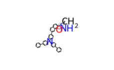 C=C/C=C1\C(=N)Oc2c1ccc1ccc(-c3ccc(N(c4ccc(-c5ccccc5)cc4)c4ccc(-c5ccccc5)cc4)cc3)cc21